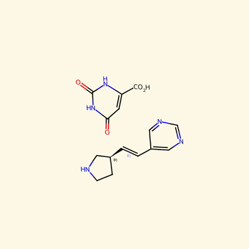 C(=C\[C@H]1CCNC1)/c1cncnc1.O=C(O)c1cc(=O)[nH]c(=O)[nH]1